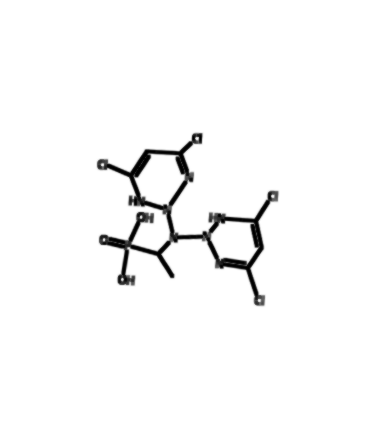 CC(N(N1N=C(Cl)C=C(Cl)N1)N1N=C(Cl)C=C(Cl)N1)P(=O)(O)O